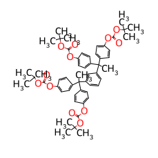 CC(C)(C)OC(=O)Oc1ccc(C(C)(c2ccc(OC(=O)OC(C)(C)C)cc2)c2cccc(C(C)(c3ccc(OC(=O)OC(C)(C)C)cc3)c3ccc(OC(=O)OC(C)(C)C)cc3)c2)cc1